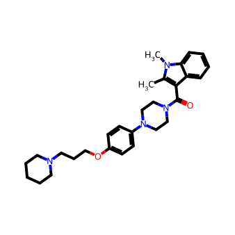 Cc1c(C(=O)N2CCN(c3ccc(OCCCN4CCCCC4)cc3)CC2)c2ccccc2n1C